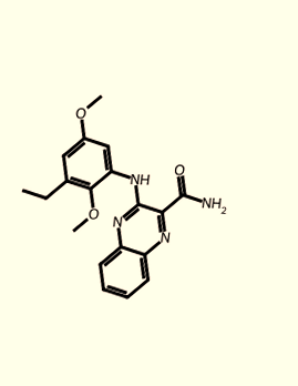 CCc1cc(OC)cc(Nc2nc3ccccc3nc2C(N)=O)c1OC